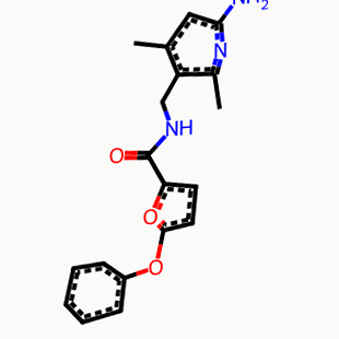 Cc1cc(N)nc(C)c1CNC(=O)c1ccc(Oc2ccccc2)o1